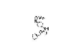 CON=C1CCC(NC(=O)OCc2ccccc2)CC1